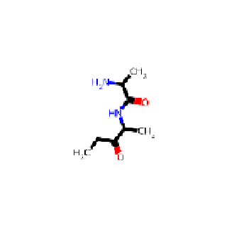 CCC(=O)C(C)NC(=O)C(C)N